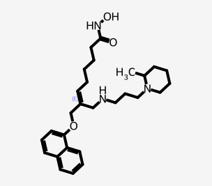 CC1CCCCN1CCCNC/C(=C\CCCCC(=O)NO)COc1cccc2ccccc12